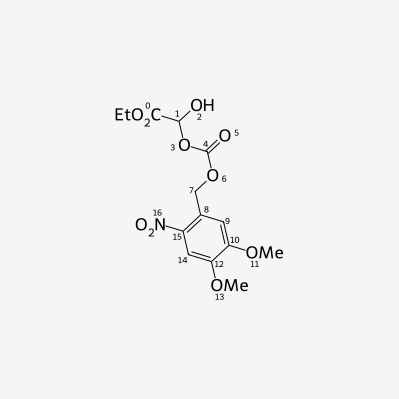 CCOC(=O)C(O)OC(=O)OCc1cc(OC)c(OC)cc1[N+](=O)[O-]